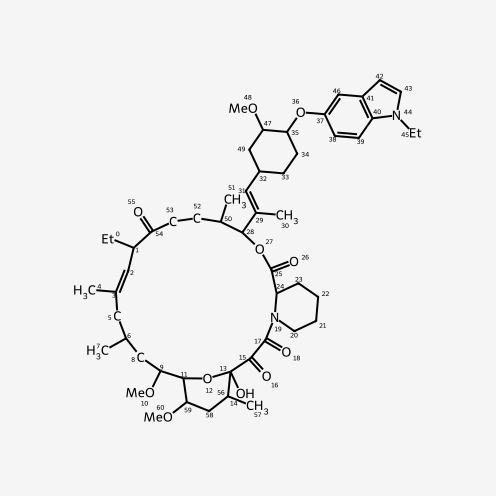 CCC1/C=C(\C)CC(C)CC(OC)C2OC(O)(C(=O)C(=O)N3CCCCC3C(=O)OC(C(C)=CC3CCC(Oc4ccc5c(ccn5CC)c4)C(OC)C3)C(C)CCC1=O)C(C)CC2OC